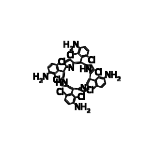 Nc1ccc(Cl)c(-c2c3nc(c(-c4c(Cl)ccc(N)c4Cl)c4ccc([nH]4)c(-c4c(Cl)ccc(N)c4Cl)c4nc(c(-c5c(Cl)ccc(N)c5Cl)c5ccc2[nH]5)C=C4)C=C3)c1Cl